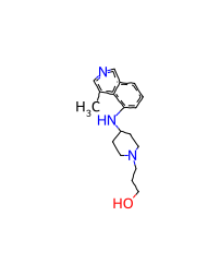 Cc1cncc2cccc(NC3CCN(CCCO)CC3)c12